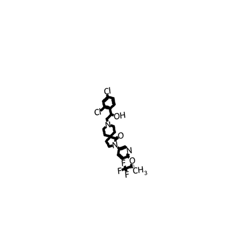 C[C@H](Oc1ccc(N2CCC3(CCN(CC(O)c4ccc(Cl)cc4Cl)CC3)C2=O)cn1)C(F)(F)F